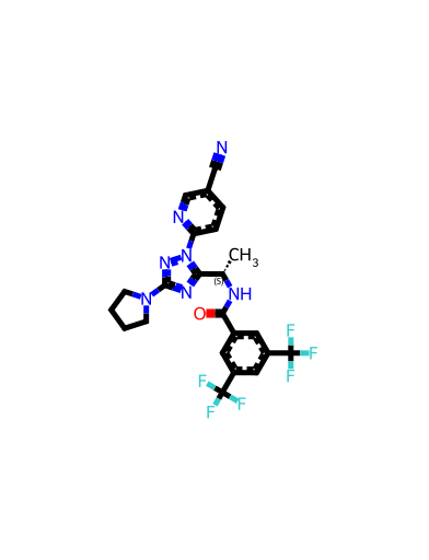 C[C@H](NC(=O)c1cc(C(F)(F)F)cc(C(F)(F)F)c1)c1nc(N2CCCC2)nn1-c1ccc(C#N)cn1